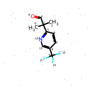 CC(C)(C=O)c1ccc(C(F)(F)F)cn1